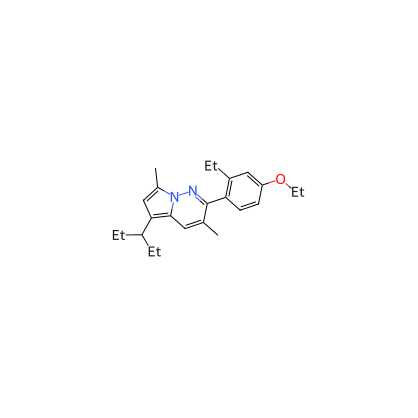 CCOc1ccc(-c2nn3c(C)cc(C(CC)CC)c3cc2C)c(CC)c1